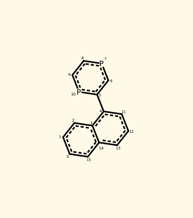 c1ccc2c(-c3cpccp3)cccc2c1